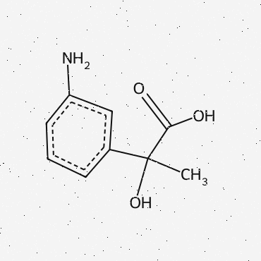 CC(O)(C(=O)O)c1cccc(N)c1